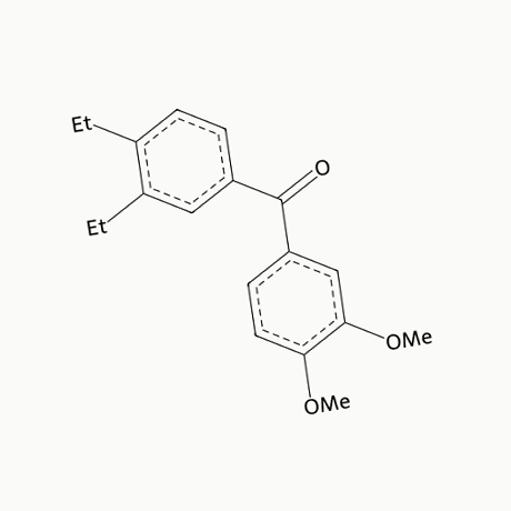 CCc1ccc(C(=O)c2ccc(OC)c(OC)c2)cc1CC